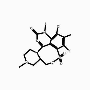 Cc1c(F)c2c3c(nc(=O)n(I)c3c1Cl)N1CCN(C)CC1CCS2(=O)=O